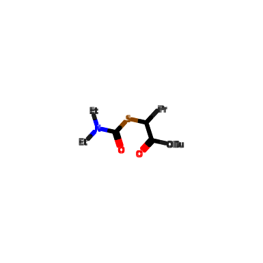 CCN(CC)C(=O)SC(C(=O)OCC(C)C)C(C)C